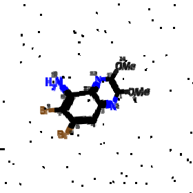 COc1nc2cc(Br)c(Br)c(N)c2nc1OC